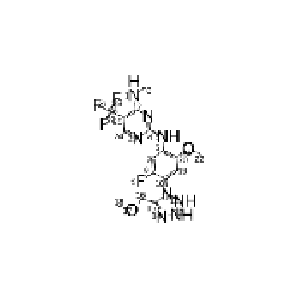 CNc1nc(Nc2cc(F)c(N3NNN=C3COC)cc2OC)ncc1C(F)(F)F